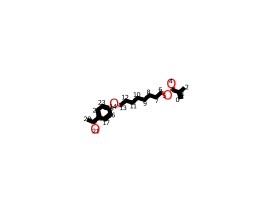 C=C(C)C(=O)OCCCCCCCCOc1ccc(C(C)=O)cc1